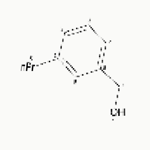 C[CH]Cc1cccc(CO)c1